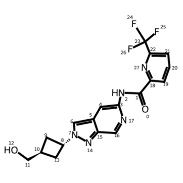 O=C(Nc1cc2cn([C@H]3C[C@H](CO)C3)nc2cn1)c1cccc(C(F)(F)F)n1